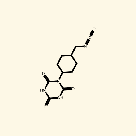 O=C=NCC1CCC(n2c(=O)[nH]c(=O)[nH]c2=O)CC1